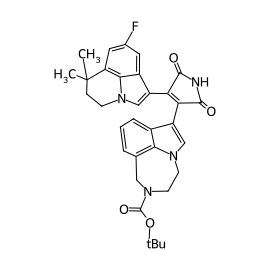 CC(C)(C)OC(=O)N1CCn2cc(C3=C(c4cn5c6c(cc(F)cc46)C(C)(C)CC5)C(=O)NC3=O)c3cccc(c32)C1